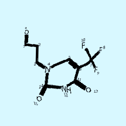 O=CCCn1cc(C(F)(F)F)c(=O)[nH]c1=O